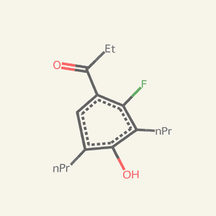 CCCc1cc(C(=O)CC)c(F)c(CCC)c1O